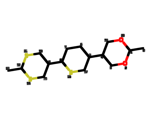 CC1OCC(C2CCC(C3CSC(C)SC3)SC2)CO1